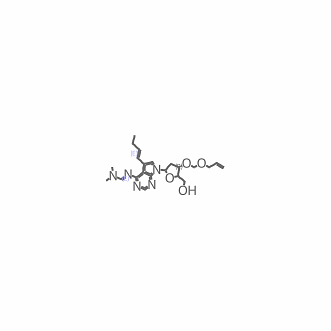 C=CCOCO[C@@H]1CC(n2cc(/C=C/CC)c3c(/N=C/N(C)C)ncnc32)OC1CO